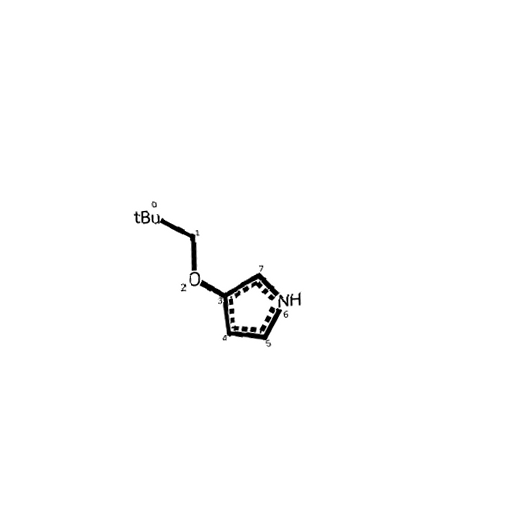 CC(C)(C)COc1cc[nH]c1